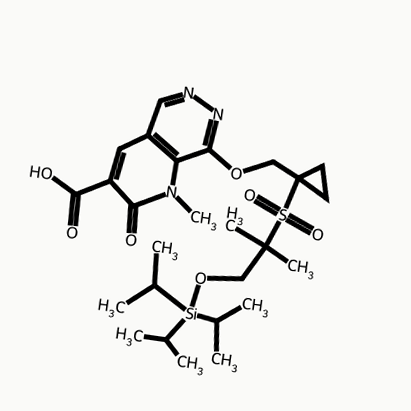 CC(C)[Si](OCC(C)(C)S(=O)(=O)C1(COc2nncc3cc(C(=O)O)c(=O)n(C)c23)CC1)(C(C)C)C(C)C